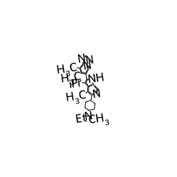 CCN(C)C1CCC(c2ncc3[nH]c(-c4cn5ncnc5c(C)c4C)c(C(C)C)c3c2C)CC1